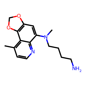 Cc1ccnc2c(N(C)CCCCN)cc3c(c12)OCO3